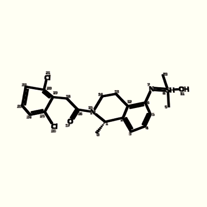 C[C@H]1c2cccc(N=[SH](C)(C)O)c2CCN1C(=O)Cc1c(Cl)cccc1Cl